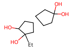 CCC1(O)CCCC1O.OC1(O)CCCC1